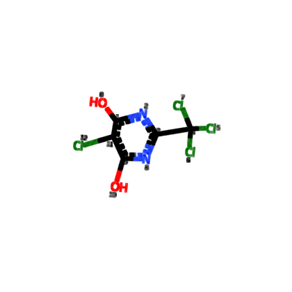 Oc1nc(C(Cl)(Cl)Cl)nc(O)c1Cl